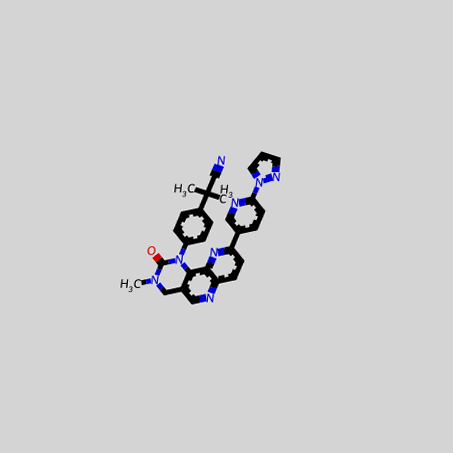 CN1Cc2cnc3ccc(-c4ccc(-n5cccn5)nc4)nc3c2N(c2ccc(C(C)(C)C#N)cc2)C1=O